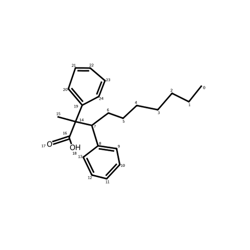 CCCCCCCC(c1ccccc1)C(C)(C(=O)O)c1ccccc1